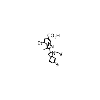 CCc1cc(C(=O)O)cn2nc(-c3cc4ccc(Br)cc4n3CC3CC3)c(C)c12